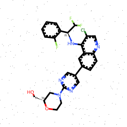 OC[C@@H]1CN(c2ncc(-c3ccc4ncc(Cl)c(N[C@@H](c5ccccc5F)C(F)F)c4c3)cn2)CCO1